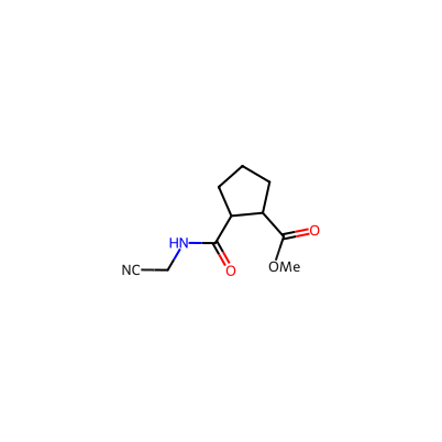 COC(=O)C1CCCC1C(=O)NCC#N